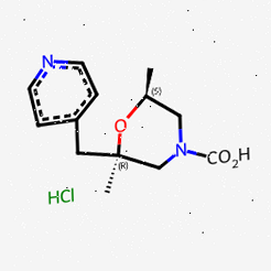 C[C@H]1CN(C(=O)O)C[C@@](C)(Cc2ccncc2)O1.Cl